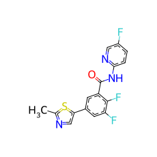 Cc1ncc(-c2cc(F)c(F)c(C(=O)Nc3ccc(F)cn3)c2)s1